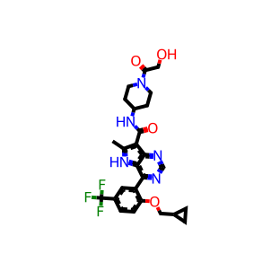 Cc1[nH]c2c(-c3cc(C(F)(F)F)ccc3OCC3CC3)ncnc2c1C(=O)NC1CCN(C(=O)CO)CC1